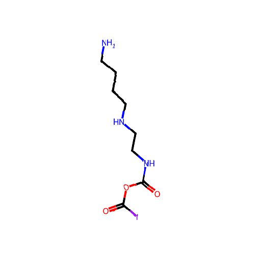 NCCCCNCCNC(=O)OC(=O)I